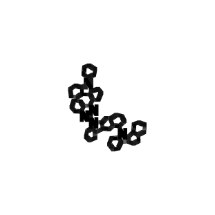 c1ccc(-n2c3ccccc3c3c(-c4nc(-n5c6ccccc6c6cc7c(-n8c9ccccc9c9ccc%10ccccc%10c98)cccc7cc65)nc5ccccc45)cccc32)cc1